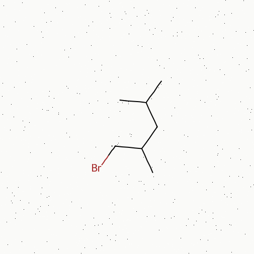 CC(C)CC(C)[CH]Br